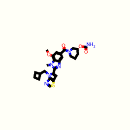 COc1cc(C(=O)N2CCC[C@@H](OC(N)=O)C2)cc2nc(-c3cc4scnc4n3CC3CCC3)n(C)c12